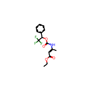 CCOC(=O)C=C(C)NC(=O)OC(c1ccccc1)C(F)(F)F